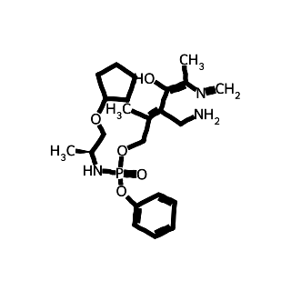 C=N/C(C)=C(O)\C(CN)=C(/C)COP(=O)(N[C@@H](C)COC1CCCC1)Oc1ccccc1